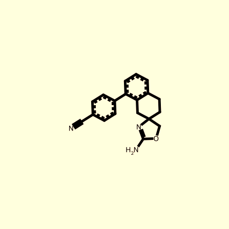 N#Cc1ccc(-c2cccc3c2CC2(CC3)COC(N)=N2)cc1